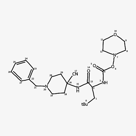 CC(C)(C)CC(NC(=O)ON1CCOCC1)C(=O)NC1(C#N)CCN(Cc2ccccc2)CC1